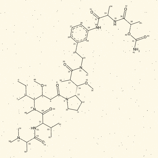 CCC(C)C(C(CC(=O)N1CCC[C@H]1C(OC)C(C)C(=O)N(C)CCc1cccc(NC(=O)C(C)NC(=O)C(C)OC(N)=O)c1)OC)N(C)C(=O)C(NC(=O)C(C)N(C)C)C(C)C